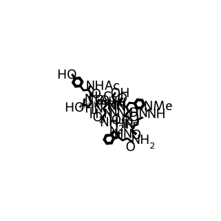 CNC(=N)NCCCC(NC(=O)[C@](CC(C)C)(NC(=O)NN)C(=O)C(Cc1ccccc1)NC(=O)C(NC(=O)C(CC(N)=O)NC(=O)[C@@H]1C[C@@H](O)CN1C(=O)C(Cc1ccc(O)cc1)NC(C)=O)C(C)O)C(=O)NC(Cc1c[nH]c2ccccc12)C(N)=O